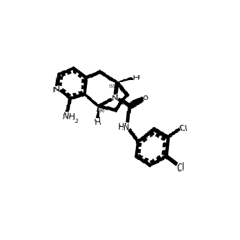 Nc1nccc2c1[C@H]1CC[C@@H](C2)N1C(=O)Nc1ccc(Cl)c(Cl)c1